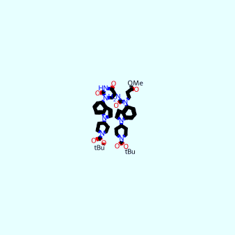 CC(C)(C)OC(=O)N1CCC(n2ccc3c(N4CCC(=O)NC4=O)cccc32)CC1.COC(=O)CCN(C(N)=O)c1cccc2c1ccn2C1CCN(C(=O)OC(C)(C)C)CC1